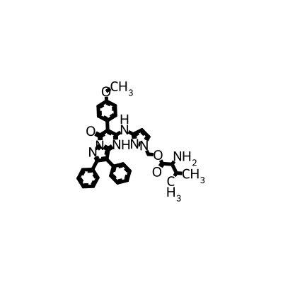 COc1ccc(-c2c(Nc3ccn(COC(=O)C(N)C(C)C)n3)[nH]c3c(-c4ccccc4)c(-c4ccccc4)nn3c2=O)cc1